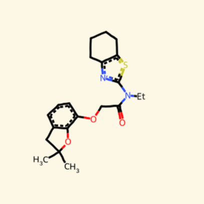 CCN(C(=O)COc1cccc2c1OC(C)(C)C2)c1nc2c(s1)CCCC2